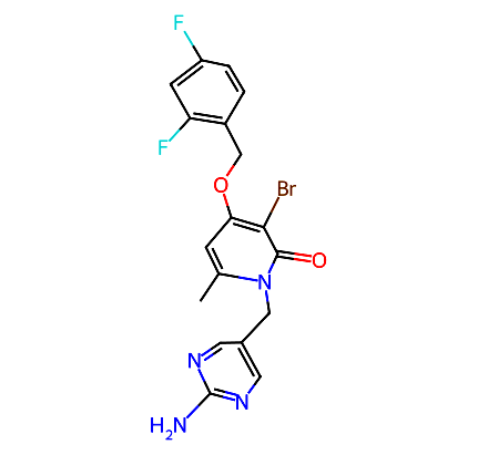 Cc1cc(OCc2ccc(F)cc2F)c(Br)c(=O)n1Cc1cnc(N)nc1